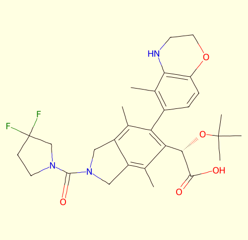 Cc1c(-c2c(C)c3c(c(C)c2[C@H](OC(C)(C)C)C(=O)O)CN(C(=O)N2CCC(F)(F)C2)C3)ccc2c1NCCO2